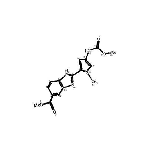 COC(=O)c1ccc2[nH]c(-c3cc(NC(=O)OC(C)(C)C)cn3C)nc2c1